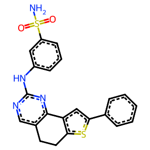 NS(=O)(=O)c1cccc(Nc2ncc3c(n2)-c2cc(-c4ccccc4)sc2CC3)c1